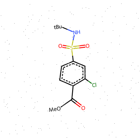 COC(=O)c1ccc(S(=O)(=O)NC(C)(C)C)cc1Cl